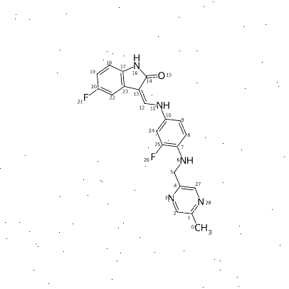 Cc1cnc(CNc2ccc(NC=C3C(=O)Nc4ccc(F)cc43)cc2F)cn1